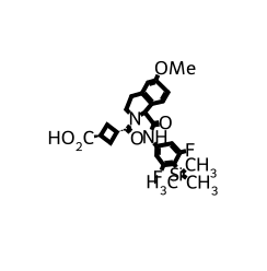 COc1ccc2c(c1)CCN(C(=O)[C@H]1C[C@H](C(=O)O)C1)C2C(=O)Nc1cc(F)c([Si](C)(C)C)c(F)c1